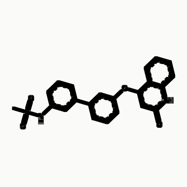 CS(=O)(=O)Nc1cccc(-c2cccc(Oc3cc(=O)[nH]c4ccccc34)c2)c1